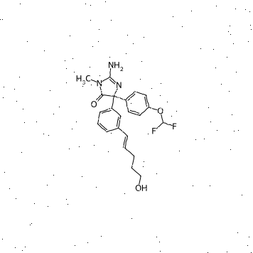 CN1C(=O)C(c2ccc(OC(F)F)cc2)(c2cccc(C=CCCCO)c2)N=C1N